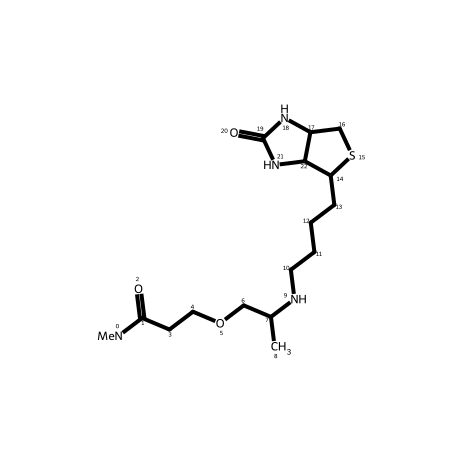 CNC(=O)CCOCC(C)NCCCCC1SCC2NC(=O)NC21